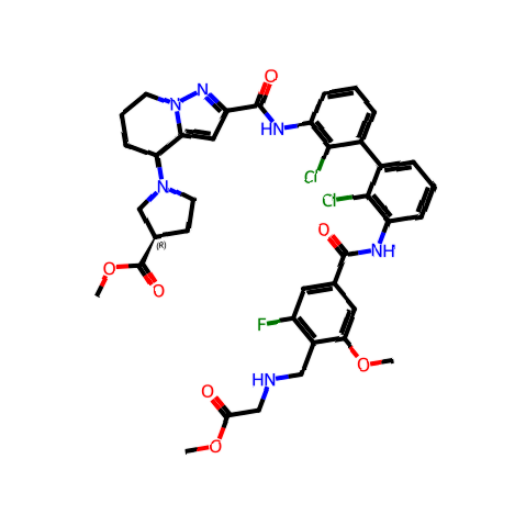 COC(=O)CNCc1c(F)cc(C(=O)Nc2cccc(-c3cccc(NC(=O)c4cc5n(n4)CCCC5N4CC[C@@H](C(=O)OC)C4)c3Cl)c2Cl)cc1OC